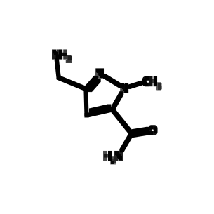 Cn1nc(CN)cc1C(N)=O